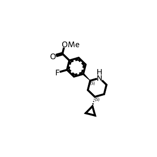 COC(=O)c1ccc([C@@H]2C[C@@H](C3CC3)CCN2)cc1F